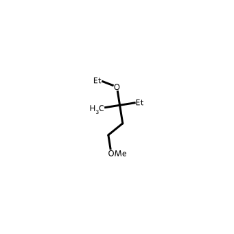 CCOC(C)(CC)CCOC